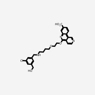 O=C(O)c1ccc2c(c1)nc(OCCOCCCCNCc1cc(Cl)cc(CO)c1)c1ccncc12